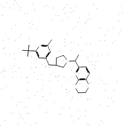 Cc1cc(C[C@@]2(C)CCN(C(C)c3ccc4c(n3)OCCO4)C2)cc(C(F)(F)F)n1